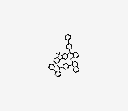 CC1(C)c2ccccc2-c2ccc(N(c3ccc(-c4ccccc4)cc3)c3cccc4c3oc3c(-c5ccc(-c6cc7ccccc7c7ccccc67)cc5)c5ccccc5cc34)cc21